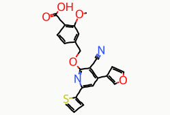 COc1cc(COc2nc(-c3cccs3)cc(-c3ccoc3)c2C#N)ccc1C(=O)O